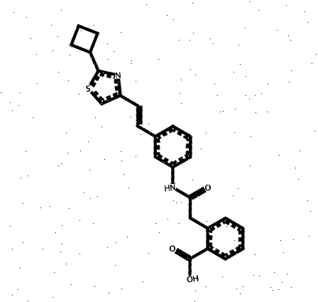 O=C(Cc1ccccc1C(=O)O)Nc1cccc(C=Cc2csc(C3CCC3)n2)c1